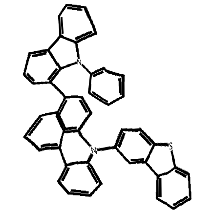 c1ccc(-c2ccccc2N(c2ccc(-c3cccc4c5ccccc5n(-c5ccccc5)c34)cc2)c2ccc3sc4ccccc4c3c2)cc1